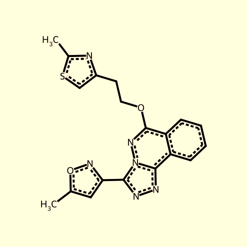 Cc1cc(-c2nnc3c4ccccc4c(OCCc4csc(C)n4)nn23)no1